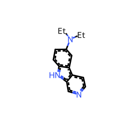 CCN(CC)c1ccc2[nH]c3cnccc3c2c1